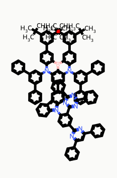 CC(C)(C)c1cc(-c2ccc3c(c2)B2c4cc(-c5cc(C(C)(C)C)cc(C(C)(C)C)c5)ccc4N(c4cc(-c5ccccc5)cc(-c5ccccc5)c4)c4cc(-c5ccc6c(c5)c5ccccc5n6-c5ccc(-c6nc(-c7ccccc7)cc(-c7ccccc7)n6)cc5-c5nc(-c6ccccc6)nc(-c6ccccc6)n5)cc(c42)N3c2cc(-c3ccccc3)cc(-c3ccccc3)c2)cc(C(C)(C)C)c1